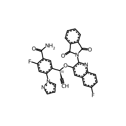 C#C[C@H](Oc1cc2cc(F)ccc2nc1N1C(=O)c2ccccc2C1=O)c1cc(C(N)=O)c(F)cc1-n1cccn1